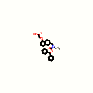 CN(CC1CCc2c(cccc2OCC(=O)O)C1)C(=O)OC(c1ccccc1)c1ccccc1